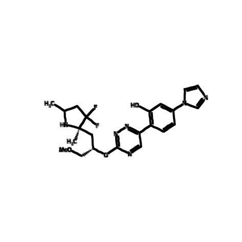 COC[C@H](C[C@@]1(C)NC(C)CC1(F)F)Oc1ncc(-c2ccc(-n3ccnc3)cc2O)nn1